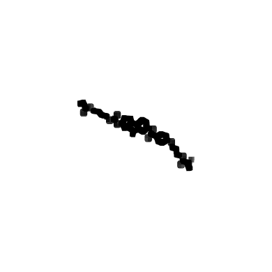 C=CC(=O)OCCCCOC(=O)Oc1ccc2c(c1)C(C)c1cc(OC(=O)c3ccc(OCCCOC(=O)C(=C)F)cc3)ccc1-2